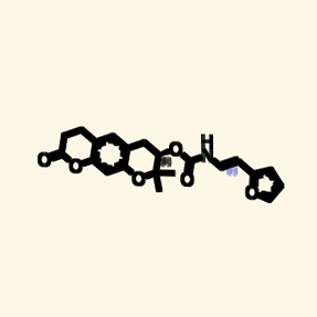 CC1(C)Oc2cc3c(cc2C[C@H]1OC(=O)N/C=C/c1ccco1)CCC(=O)O3